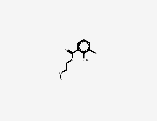 CCOCCOC(=O)c1cccc(CC)c1[C]=O